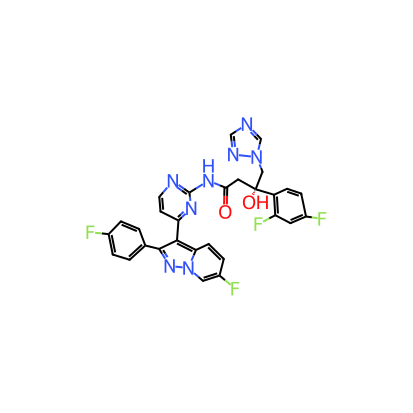 O=C(C[C@@](O)(Cn1cncn1)c1ccc(F)cc1F)Nc1nccc(-c2c(-c3ccc(F)cc3)nn3cc(F)ccc23)n1